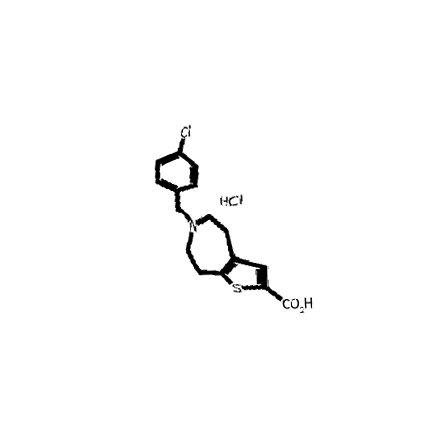 Cl.O=C(O)c1cc2c(s1)CCN(Cc1ccc(Cl)cc1)CC2